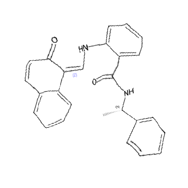 C[C@H](NC(=O)c1ccccc1N/C=C1\C(=O)C=Cc2ccccc21)c1ccccc1